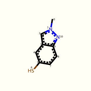 Cn1cc2cc(S)ccc2n1